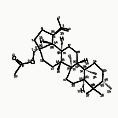 C=C(C)[C@@H]1CC[C@]2(COC(C)=O)CC[C@]3(C)[C@H](CC[C@@H]4[C@@]5(C)CC[C@H](C)C(C)(C)[C@H]5CC[C@]43C)[C@@H]12